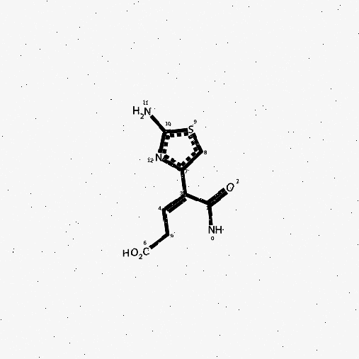 [NH]C(=O)C(=CCC(=O)O)c1csc(N)n1